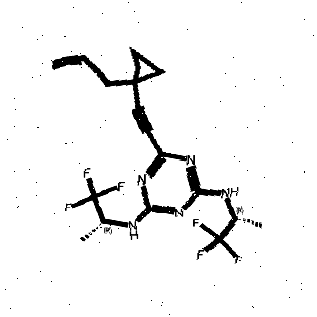 C=CCC1(C#Cc2nc(N[C@H](C)C(F)(F)F)nc(N[C@H](C)C(F)(F)F)n2)CC1